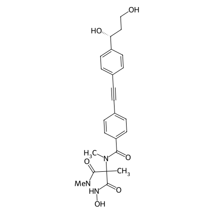 CNC(=O)C(C)(C(=O)NO)N(C)C(=O)c1ccc(C#Cc2ccc([C@H](O)CCO)cc2)cc1